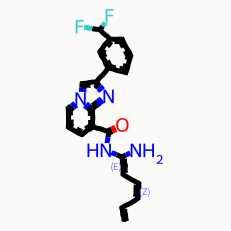 C=C/C=C\C=C(/N)NC(=O)c1cccn2cc(-c3cccc(C(F)F)c3)nc12